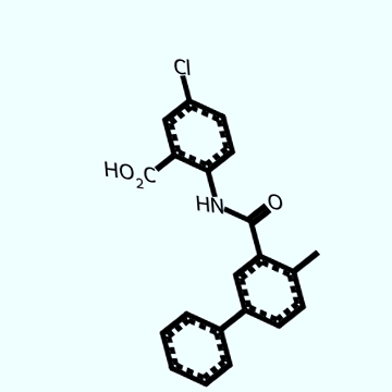 Cc1ccc(-c2ccccc2)cc1C(=O)Nc1ccc(Cl)cc1C(=O)O